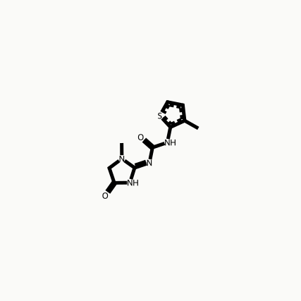 Cc1ccsc1NC(=O)N=C1NC(=O)CN1C